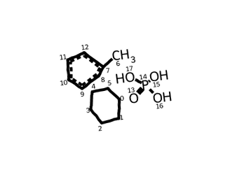 C1CCCCC1.Cc1ccccc1.O=P(O)(O)O